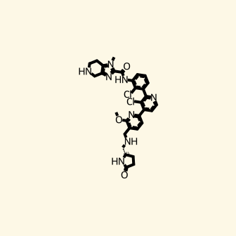 COc1nc(-c2ccnc(-c3cccc(NC(=O)c4nc5c(n4C)CCNC5)c3Cl)c2Cl)ccc1CNC[C@@H]1CCC(=O)N1